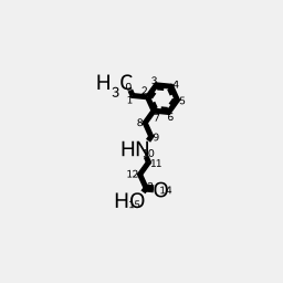 CCc1ccccc1CCNCCC(=O)O